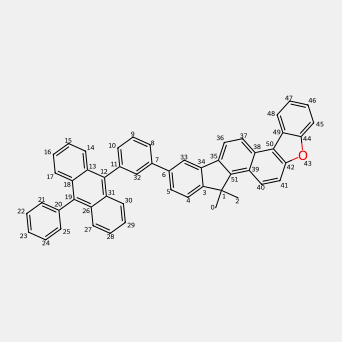 CC1(C)c2ccc(-c3cccc(-c4c5ccccc5c(-c5ccccc5)c5ccccc45)c3)cc2-c2ccc3c(ccc4oc5ccccc5c43)c21